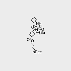 CCCCCCCCCCCCCCOC(=O)c1ccc2c(c1)C(=O)N(C(Cl)(C(=O)Nc1ccccc1)C(=O)C(C)(C)C)C2=O